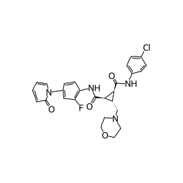 O=C(Nc1ccc(-n2ccccc2=O)cc1F)[C@@H]1[C@@H](CN2CCOCC2)[C@@H]1C(=O)Nc1ccc(Cl)cc1